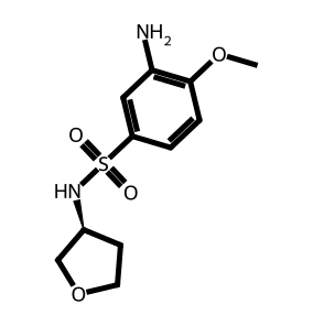 COc1ccc(S(=O)(=O)N[C@H]2CCOC2)cc1N